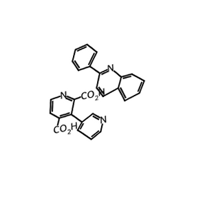 O=C(O)c1ccnc(C(=O)O)c1-c1cccnc1.c1ccc(-c2ccc3ccccc3n2)cc1